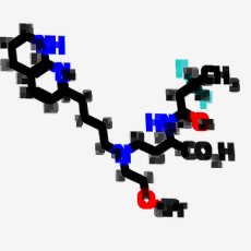 CC(C)OCCN(CCCCc1ccc2c(n1)NCCC2)CCC(NC(=O)CC(C)(F)F)C(=O)O